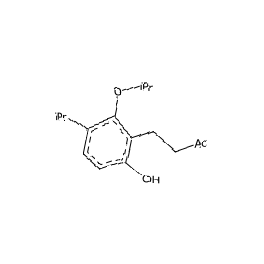 CC(=O)CCc1c(O)ccc(C(C)C)c1OC(C)C